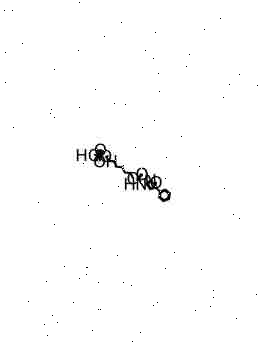 O=C(Nc1cc(-c2ccccc2)on1)OCCCCCCOP(=O)(O)O